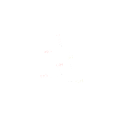 CCC(=O)O.OCC(O)(CS)CS